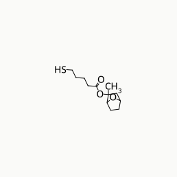 CC1(OC(=O)CCCCS)CC2CCC1O2